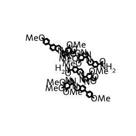 COc1cc2c(N3CCc4ccc(C(N)=O)cc4C3)ncnc2c(OC)c1OC.COc1cc2c(N3CCc4ccc(C(N)=O)cc4C3)ncnc2c2c1OCO2.COc1ccc(-c2ccc3c(c2)CCN(c2ncnc4c(OC)c(OC)c(OC)cc24)C3)cc1.COc1ccc(-c2ccc3c(c2)CCN(c2ncnc4c5c(c(OC)cc24)OCO5)C3)cc1